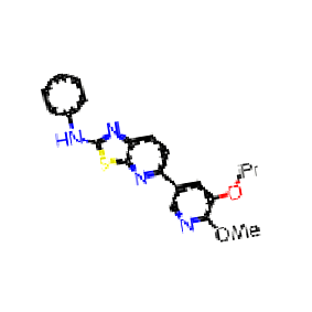 COc1ncc(-c2ccc3nc(Nc4ccccc4)sc3n2)cc1OC(C)C